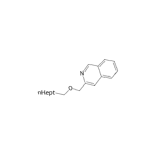 CCCCCCCCOCc1cc2ccccc2cn1